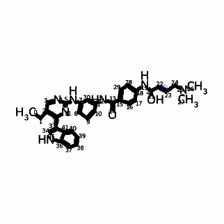 CCc1cnc(Nc2cccc(NC(=O)c3ccc(NC(O)/C=C/CN(C)C)cc3)c2)nc1-c1c[nH]c2ccccc12